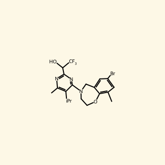 Cc1cc(Br)cc2c1OCCN(c1nc(C(O)C(F)(F)F)nc(C)c1C(C)C)C2